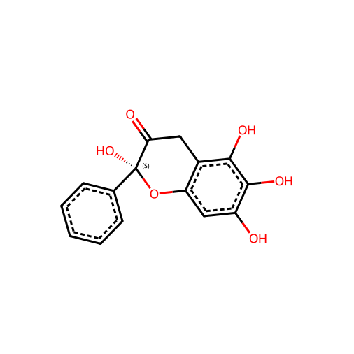 O=C1Cc2c(cc(O)c(O)c2O)O[C@@]1(O)c1ccccc1